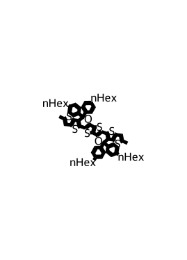 CCCCCCc1ccc(C2(c3ccc(CCCCCC)cc3)Oc3c(sc4c5c(sc34)-c3sc4cc(C)sc4c3C(c3ccc(CCCCCC)cc3)(c3ccc(CCCCCC)cc3)O5)-c3sc4cc(C)sc4c32)cc1